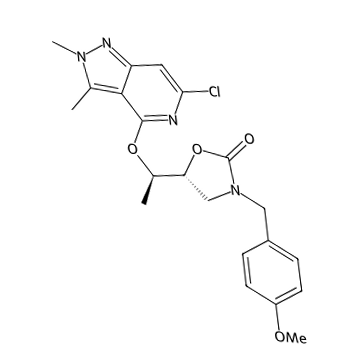 COc1ccc(CN2C[C@H]([C@@H](C)Oc3nc(Cl)cc4nn(C)c(C)c34)OC2=O)cc1